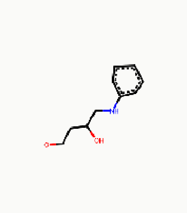 [O]CCC(O)CNc1ccccc1